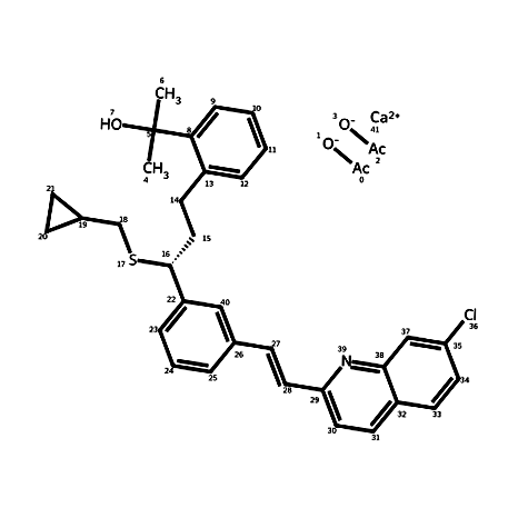 CC(=O)[O-].CC(=O)[O-].CC(C)(O)c1ccccc1CC[C@@H](SCC1CC1)c1cccc(C=Cc2ccc3ccc(Cl)cc3n2)c1.[Ca+2]